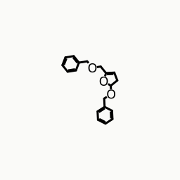 C1=C(COCc2ccccc2)OC(OCc2ccccc2)C1